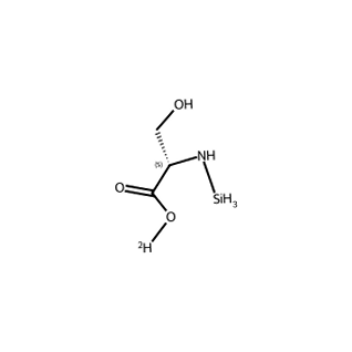 [2H]OC(=O)[C@H](CO)N[SiH3]